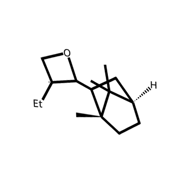 CC[C]1COC1C1C[C@H]2CC[C@@]1(C)C2(C)C